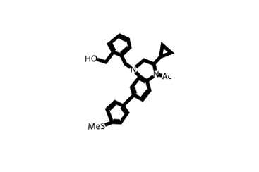 CSc1ccc(-c2ccc3c(c2)N(Cc2ccccc2CO)CC(C2CC2)N3C(C)=O)cc1